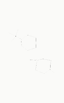 CC1CCN(C[C@H]2CCCN(C(C)(C)C)C2)CC1